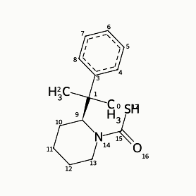 CC(C)(c1ccccc1)[C@@H]1CCCCN1C(=O)S